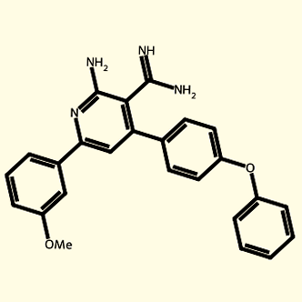 COc1cccc(-c2cc(-c3ccc(Oc4ccccc4)cc3)c(C(=N)N)c(N)n2)c1